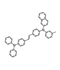 Cc1cccc(N(c2ccc(/C=C/c3ccc(N(c4ccccc4)c4ccccc4)cc3)cc2)c2ccc3ccccc3c2)c1